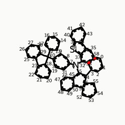 c1ccc(-c2c(N(c3ccc(C4(c5ccccc5)c5ccccc5-c5ccccc54)cc3)c3cccc4c3sc3ccccc34)c3ccccc3c3ccccc23)cc1